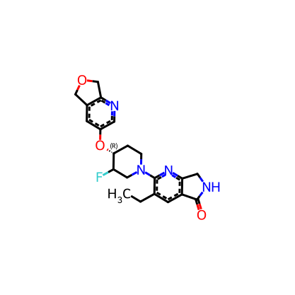 CCc1cc2c(nc1N1CC[C@@H](Oc3cnc4c(c3)COC4)C(F)C1)CNC2=O